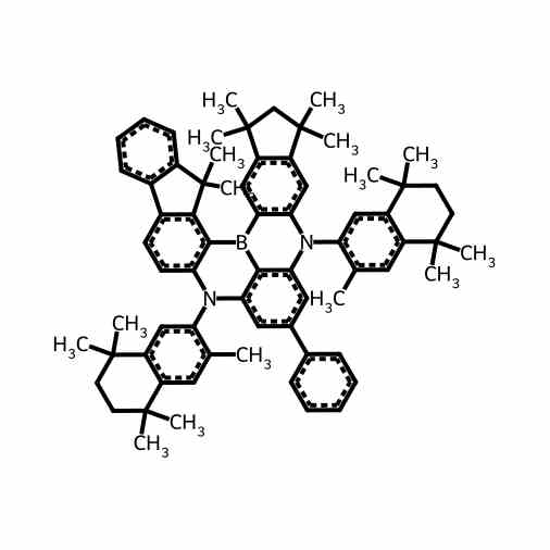 Cc1cc2c(cc1N1c3cc4c(cc3B3c5c1cc(-c1ccccc1)cc5N(c1cc5c(cc1C)C(C)(C)CCC5(C)C)c1ccc5c(c13)C(C)(C)c1ccccc1-5)C(C)(C)CC4(C)C)C(C)(C)CCC2(C)C